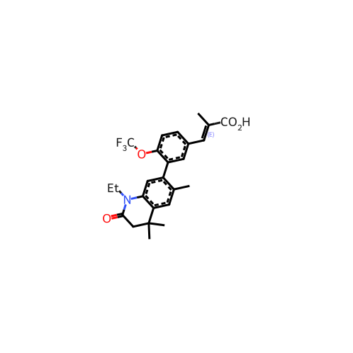 CCN1C(=O)CC(C)(C)c2cc(C)c(-c3cc(/C=C(\C)C(=O)O)ccc3OC(F)(F)F)cc21